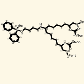 CCCCCCCCCC(=O)OC(CCCCCC(CCCCCC(CSCCCCC)OC(=O)CCCCCCCCC)NCCCCO[Si](c1ccccc1)(c1ccccc1)C(C)(C)C)CSCCCCC